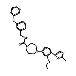 CCOc1cc(N2CCCN(C(=O)NCc3cccc(Oc4ccccn4)c3)CC2)ccc1-n1cnc(C)n1